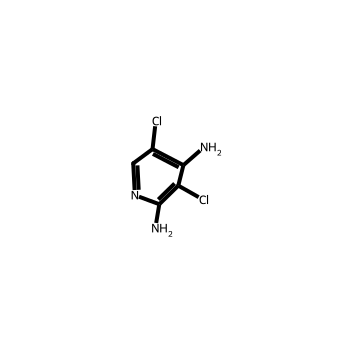 Nc1ncc(Cl)c(N)c1Cl